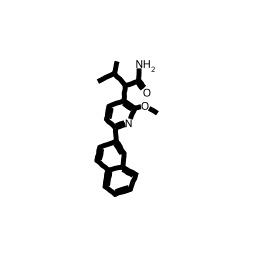 COc1nc(-c2ccc3ccccc3c2)ccc1C(C(N)=O)C(C)C